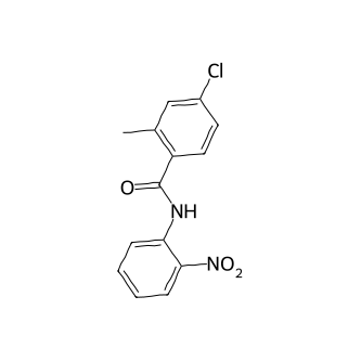 Cc1cc(Cl)ccc1C(=O)Nc1ccccc1[N+](=O)[O-]